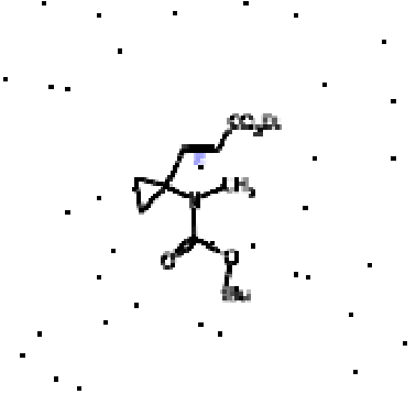 CCOC(=O)/C=C/C1(N(C)C(=O)OC(C)(C)C)CC1